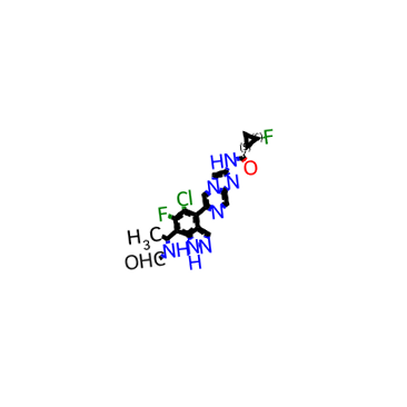 CC(NC=O)c1c(F)c(Cl)c(-c2cn3cc(NC(=O)[C@@H]4C[C@@H]4F)nc3cn2)c2cn[nH]c12